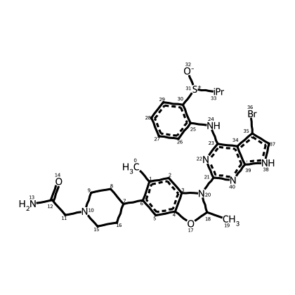 Cc1cc2c(cc1C1CCN(CC(N)=O)CC1)OC(C)N2c1nc(Nc2ccccc2[S+]([O-])C(C)C)c2c(Br)c[nH]c2n1